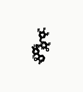 Cc1cc(F)c(-c2cccn(C)c2=O)cc1Nc1nc(=O)c(F)cn1Cc1cc(F)c(F)c(F)c1